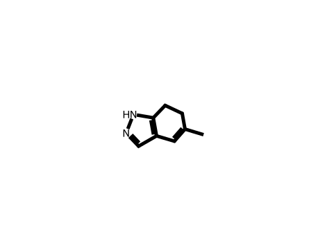 CC1=Cc2cn[nH]c2CC1